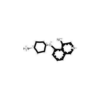 N#Cc1cncc2cccc(O[C@H]3CC[C@@H](N)CC3)c12